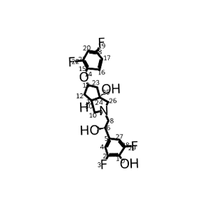 Oc1c(F)cc([C@@H](O)CN2C[C@H]3C[C@H](Oc4ccc(F)cc4F)C[C@@]3(O)C2)cc1F